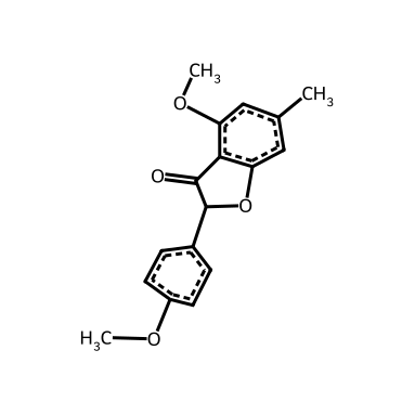 COc1ccc(C2Oc3cc(C)cc(OC)c3C2=O)cc1